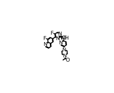 CC(=O)N1CCN(c2ccc(Nc3ncc(F)c(-c4cc(F)c5ncccc5c4)n3)nc2)CC1.Cl